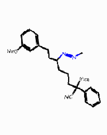 CCCCCCCCCC(C#N)(CCCC(CCc1cccc(OC)c1)N=NC)c1ccccc1